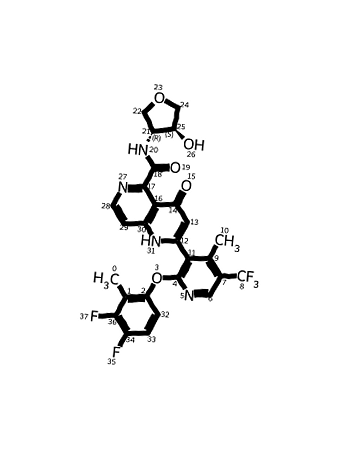 Cc1c(Oc2ncc(C(F)(F)F)c(C)c2-c2cc(=O)c3c(C(=O)N[C@@H]4COC[C@H]4O)nccc3[nH]2)ccc(F)c1F